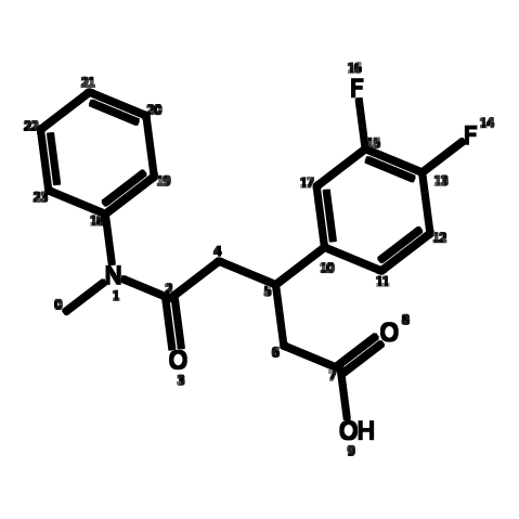 CN(C(=O)CC(CC(=O)O)c1ccc(F)c(F)c1)c1ccccc1